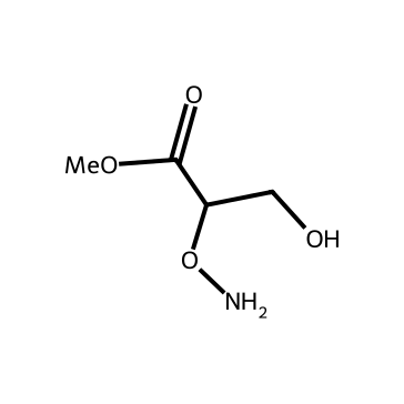 COC(=O)C(CO)ON